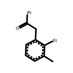 CCc1c(C)cccc1CC(=O)C(C)C